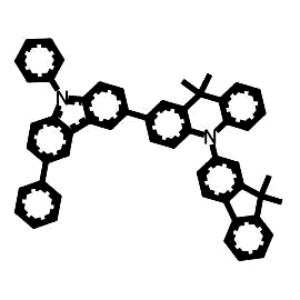 CC1(C)c2ccccc2-c2ccc(N3c4ccccc4C(C)(C)c4cc(-c5ccc6c(c5)c5cc(-c7ccccc7)ccc5n6-c5ccccc5)ccc43)cc21